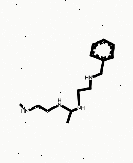 CNCCNC(C)NCCNCc1ccccc1